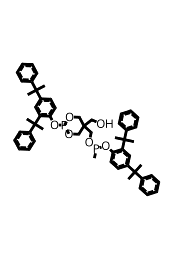 CP(OCC1(CO)COP(Oc2ccc(C(C)(C)c3ccccc3)cc2C(C)(C)c2ccccc2)OC1)Oc1ccc(C(C)(C)c2ccccc2)cc1C(C)(C)c1ccccc1